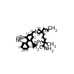 C=NCC1(CCCC(C)(CCC)C(=C)N)CN(Cc2cc(CCC)c(-c3ccccc3C#N)c(C3CC3)c2)C1